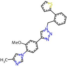 COc1cc(-c2cn(Cc3ccccc3-c3cccs3)nn2)ccc1-n1cnc(C)c1